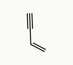 C#CC=C